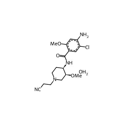 COc1cc(N)c(Cl)cc1C(=O)N[C@@H]1CCN(CCC#N)C[C@@H]1OC.O